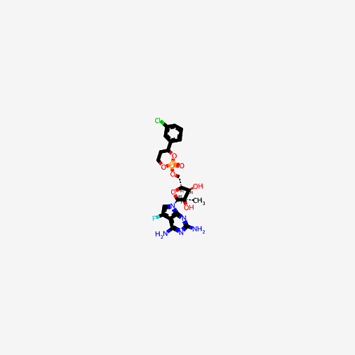 C[C@@]1(O)[C@H](O)[C@@H](COP2(=O)OCCC(c3cccc(Cl)c3)O2)O[C@H]1n1cc(F)c2c(N)nc(N)nc21